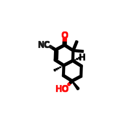 CC1(C)C(=O)C(C#N)=C[C@]2(C)C[C@@](C)(O)CC[C@H]12